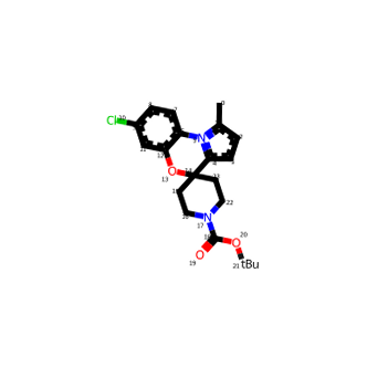 Cc1ccc2n1-c1ccc(Cl)cc1OC21CCN(C(=O)OC(C)(C)C)CC1